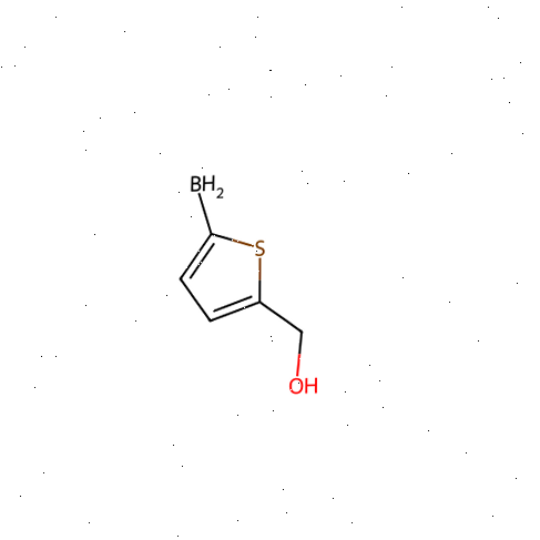 Bc1ccc(CO)s1